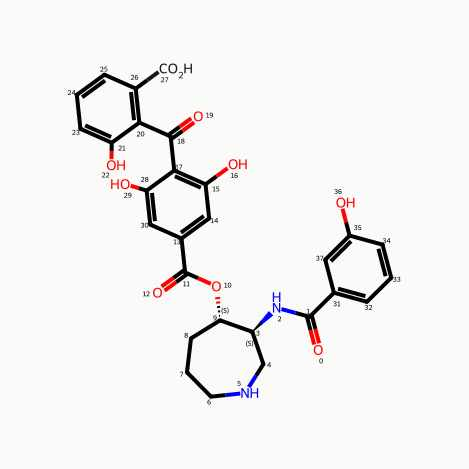 O=C(N[C@H]1CNCCC[C@@H]1OC(=O)c1cc(O)c(C(=O)c2c(O)cccc2C(=O)O)c(O)c1)c1cccc(O)c1